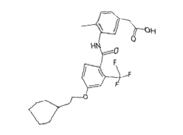 Cc1ccc(CC(=O)O)cc1NC(=O)c1ccc(OCCC2CCCCC2)cc1C(F)(F)F